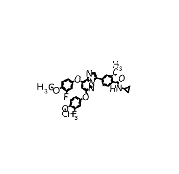 COc1ccc(Oc2cc(Oc3ccc(OC)c(F)c3)c3ncc(-c4ccc(C(=O)NC5CC5)c(C)c4)n3n2)cc1F